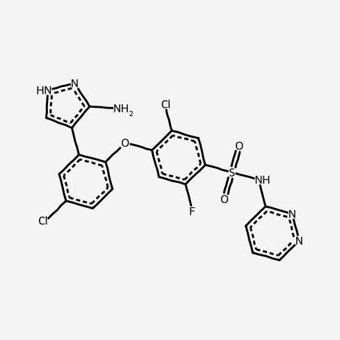 Nc1n[nH]cc1-c1cc(Cl)ccc1Oc1cc(F)c(S(=O)(=O)Nc2cccnn2)cc1Cl